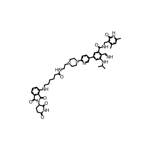 Cc1cc(C)c(CNC(=O)c2cc(-c3ccc(N4CCN(CCNC(=O)CCCCCNc5cccc6c5C(=O)N(C5CCC(=O)NC5=O)C6=O)CC4)nc3)cc(NC(C)C)c2C=N)c(=O)[nH]1